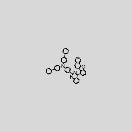 c1ccc(-c2ccc(N(c3ccc(-c4ccccc4)cc3)c3ccc(-c4nc(-c5cccc6oc7c8ccccc8ccc7c56)c5ccccc5n4)cc3)cc2)cc1